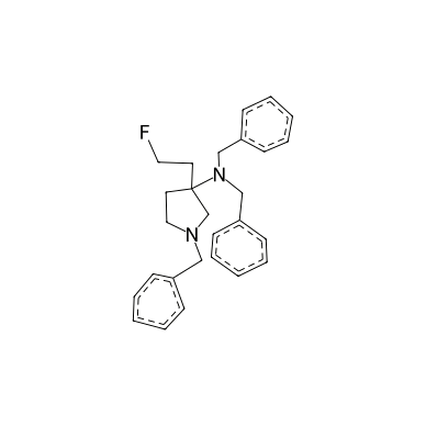 FCCC1(N(Cc2ccccc2)Cc2ccccc2)CCN(Cc2ccccc2)C1